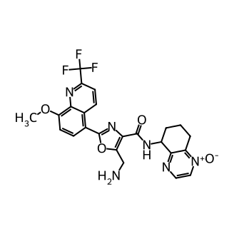 COc1ccc(-c2nc(C(=O)NC3CCCc4c3ncc[n+]4[O-])c(CN)o2)c2ccc(C(F)(F)F)nc12